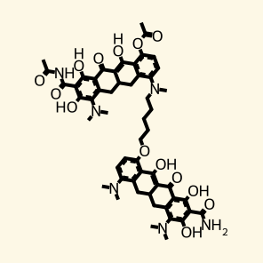 CC(=O)NC(=O)c1c(O)c2c(c(N(C)C)c1O)CC1Cc3c(N(C)CCCCCOc4ccc(N(C)C)c5c4C(O)=C4C(=O)c6c(O)c(C(N)=O)c(O)c(N(C)C)c6CC4C5)ccc(OC(C)=O)c3C(O)=C1C2=O